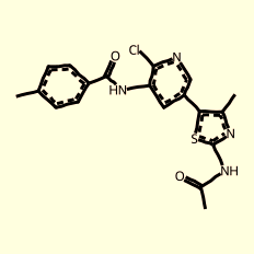 CC(=O)Nc1nc(C)c(-c2cnc(Cl)c(NC(=O)c3ccc(C)cc3)c2)s1